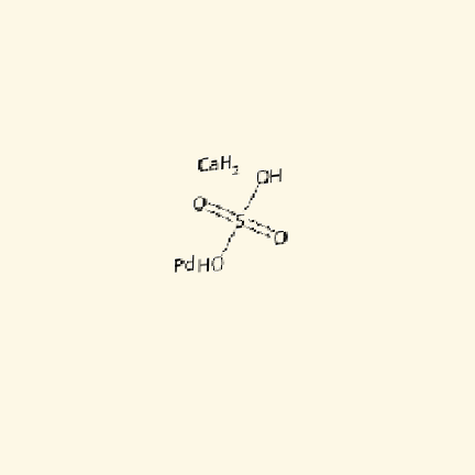 O=S(=O)(O)O.[CaH2].[Pd]